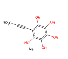 O=C(O)C#Cc1c(O)c(O)c(O)c(O)c1O.[Na]